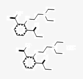 CCC(=O)c1cccc(C(=O)[O-])c1OCCN(CC)CC.CCC(=O)c1cccc(C(=O)[O-])c1OCCN(CC)CC.[Ca+2]